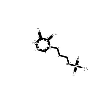 CS(=O)(=O)NCCCn1[c]n[nH]c(=O)c1=O